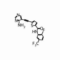 Nc1ncncc1C#Cc1ccc(C(=O)Nc2cc(C(F)(F)F)ccc2F)s1